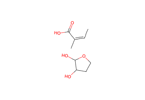 CC=C(C)C(=O)O.OC1CCOC1O